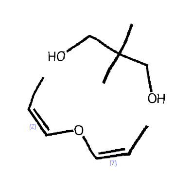 C/C=C\O/C=C\C.CC(C)(CO)CO